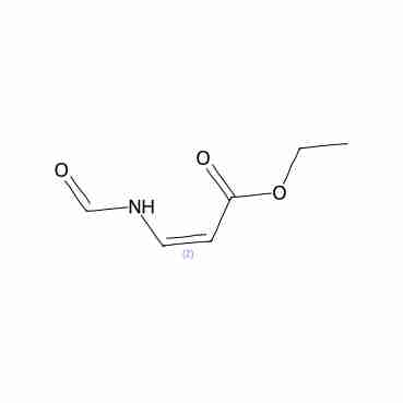 CCOC(=O)/C=C\NC=O